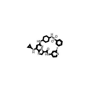 O=C(Nc1ccnc(F)c1)C1CN=C2C(NC3CC3)=CC(NC3CCC(NS(=O)(=O)c4ccccc4)CC3)=NN21